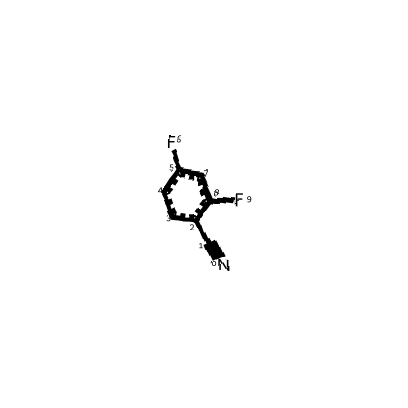 N#Cc1ccc(F)[c]c1F